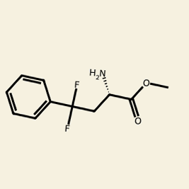 COC(=O)[C@@H](N)CC(F)(F)c1ccccc1